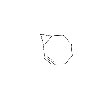 C1#CC2CC2CCCC1